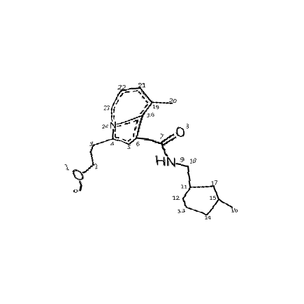 COCCc1cc(C(=O)NCC2CCCC(C)C2)c2c(C)cccn12